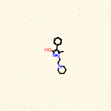 Cc1c(-c2ccccc2)c(O)nn1CCN1CCCCC1